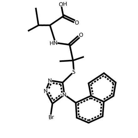 CC(C)C(NC(=O)C(C)(C)Sc1nnc(Br)n1-c1cccc2ccccc12)C(=O)O